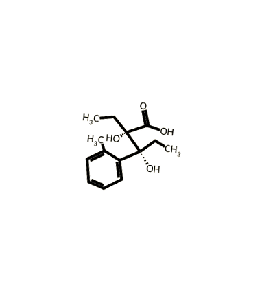 CC[C@@](O)(C(=O)O)[C@@](O)(CC)c1ccccc1C